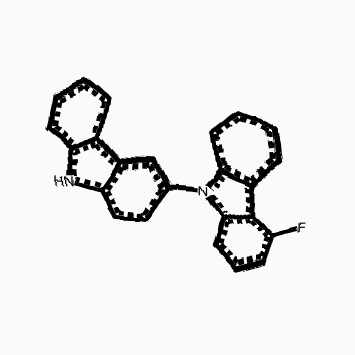 Fc1cccc2c1c1ccccc1n2-c1ccc2[nH]c3ccccc3c2c1